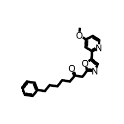 COc1ccnc(-c2cnc(CC(=O)CCCCCc3ccccc3)o2)c1